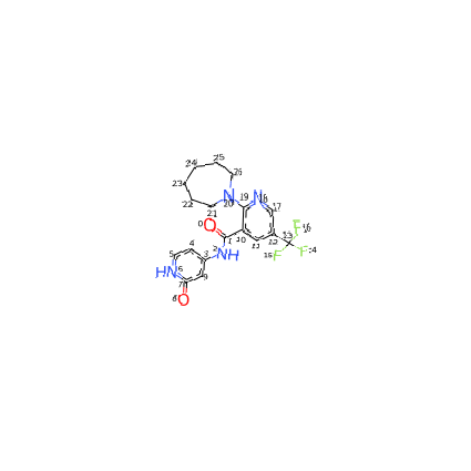 O=C(Nc1cc[nH]c(=O)c1)c1cc(C(F)(F)F)cnc1N1CCCCCC1